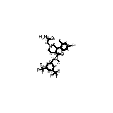 Cc1cc(F)ccc1C1CN(CC(N)=O)CCC1C(=O)N(C)Cc1cc(C(F)(F)F)cc(C(F)(F)F)c1